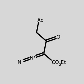 CCOC(=O)C(=[N+]=[N-])C(=O)CC(C)=O